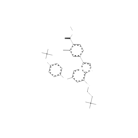 COC(=O)c1ccc(-c2cnc3c(NCCC(F)(F)F)cc(Oc4ccc(OC(F)(F)F)cc4)cn23)cc1C